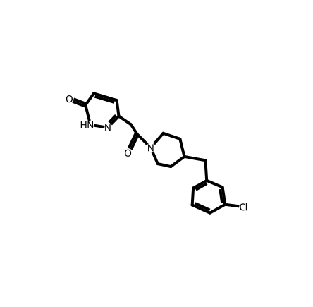 O=C(Cc1ccc(=O)[nH]n1)N1CCC(Cc2cccc(Cl)c2)CC1